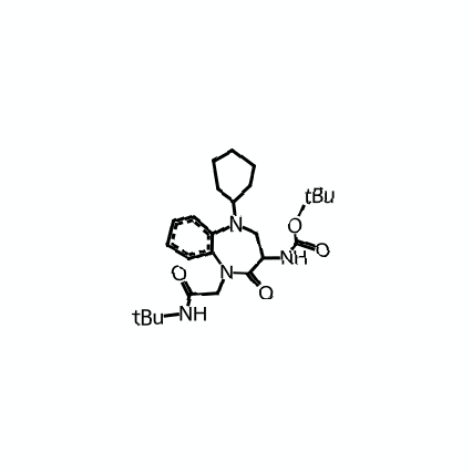 CC(C)(C)NC(=O)CN1C(=O)C(NC(=O)OC(C)(C)C)CN(C2CCCCC2)c2ccccc21